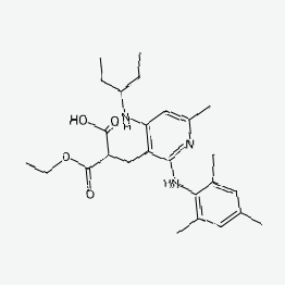 CCOC(=O)C(Cc1c(NC(CC)CC)cc(C)nc1Nc1c(C)cc(C)cc1C)C(=O)O